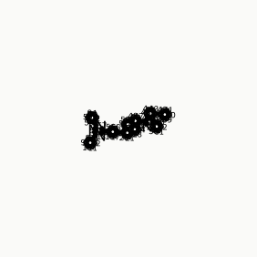 c1ccc(-c2nc(-c3ccccc3)nc(-c3ccc(-c4ccc5ccc6c(-c7nc8ccccc8c8c(-c9ccccc9)cccc78)ccc7ccc4c5c76)cc3)n2)cc1